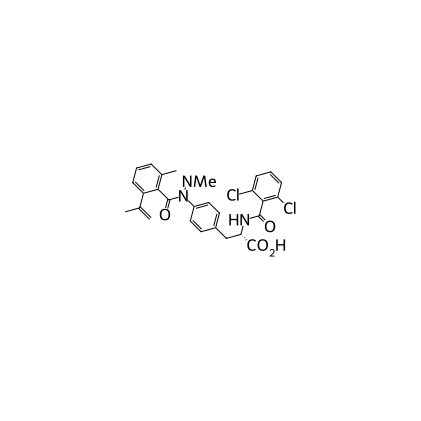 C=C(C)c1cccc(C)c1C(=O)N(NC)c1ccc(C[C@H](NC(=O)c2c(Cl)cccc2Cl)C(=O)O)cc1